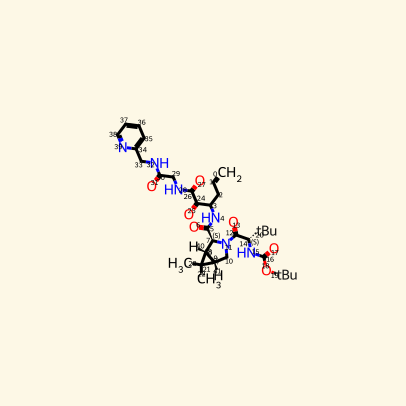 C=CCC(NC(=O)[C@@H]1[C@@H]2[C@H](CN1C(=O)[C@@H](NC(=O)OC(C)(C)C)C(C)(C)C)C2(C)C)C(=O)C(=O)NCC(=O)NCc1ccccn1